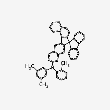 Cc1cc(C)cc(N(c2ccc3cc4c(cc3c2)C2(c3ccccc3-c3ccccc32)c2ccc3ccccc3c2-4)c2ccccc2C)c1